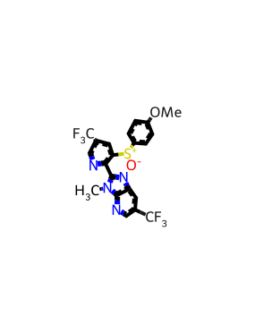 COc1ccc([S+]([O-])c2cc(C(F)(F)F)cnc2-c2nc3cc(C(F)(F)F)cnc3n2C)cc1